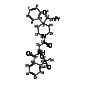 CCCC(=O)C1(c2ccccc2)CCN(C(=O)CNC(=O)c2ccccc2S(C)(=O)=O)CC1